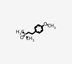 COc1ccc(CCP(C)(C)=O)cc1